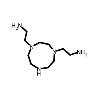 NCCN1CCNCCN(CCN)CC1